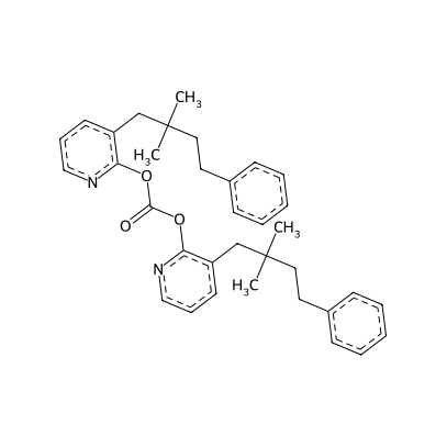 CC(C)(CCc1ccccc1)Cc1cccnc1OC(=O)Oc1ncccc1CC(C)(C)CCc1ccccc1